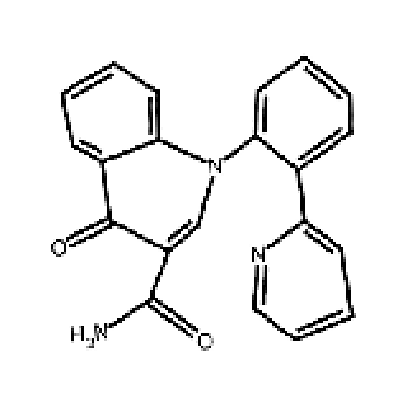 NC(=O)c1cn(-c2ccccc2-c2ccccn2)c2ccccc2c1=O